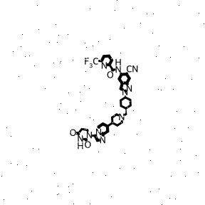 N#Cc1cc2nn([C@H]3CC[C@H](CN4CCC(c5ccn6c(N7CCC(=O)NC7=O)cnc6c5)CC4)CC3)cc2cc1NC(=O)c1cccc(C(F)(F)F)n1